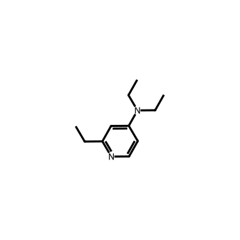 CCc1cc(N(CC)CC)ccn1